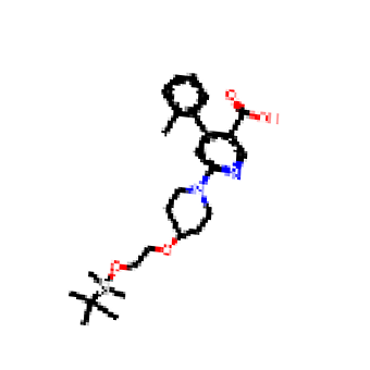 Cc1ccccc1-c1cc(N2CCC(OCCO[Si](C)(C)C(C)(C)C)CC2)ncc1C(=O)O